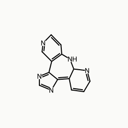 C1=CC2=C3N=CN=C3c3cnccc3NC2N=C1